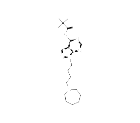 CC(C)(C)C(=O)Nc1ncnc2c1cnn2CCCCN1CCCCCC1